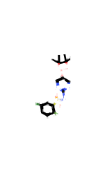 CC1(C)OB(c2cnc(NS(=O)(=O)c3cc(Cl)ccc3F)nc2)OC1(C)C